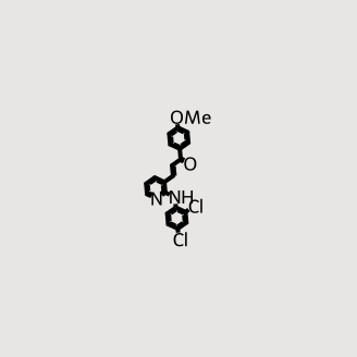 COc1ccc(C(=O)/C=C/c2cccnc2Nc2ccc(Cl)cc2Cl)cc1